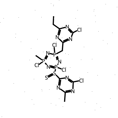 CCc1nc(Cl)nc(CP2(Cl)=NP(Cl)(S(=S)c3nc(C)nc(Cl)n3)=NP(C)(Cl)=N2)n1